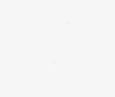 CC(C)(C)OC(=O)N1CCCC(=O)c2cc(Br)ccc21